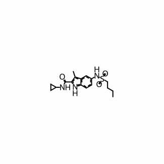 CCCCS(=O)(=O)Nc1ccc2[nH]c(C(=O)NC3CC3)c(C)c2c1